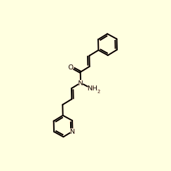 NN(C=CCc1cccnc1)C(=O)C=Cc1ccccc1